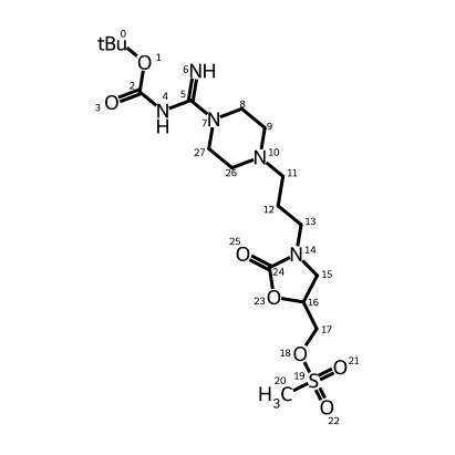 CC(C)(C)OC(=O)NC(=N)N1CCN(CCCN2CC(COS(C)(=O)=O)OC2=O)CC1